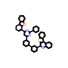 C1=C(c2cc(-c3cccc(-c4cccc(-c5nc6ccccc6c6c5sc5ccccc56)c4)c3)nc(-c3ccccc3)n2)c2oc3ccccc3c2CC1